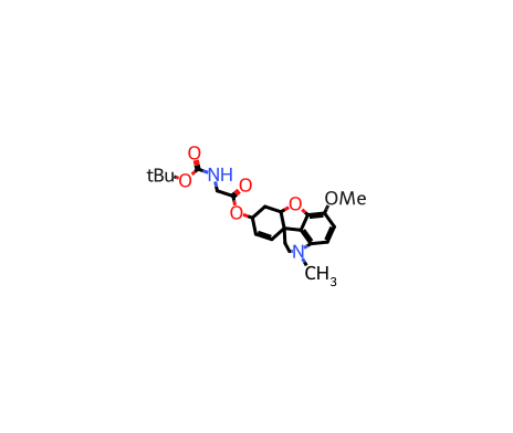 COc1ccc2c3c1OC1CC(OC(=O)CNC(=O)OC(C)(C)C)C=CC31CCN2C